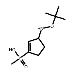 CC(C)(C)ONC1C=C(P(C)(=O)O)CC1